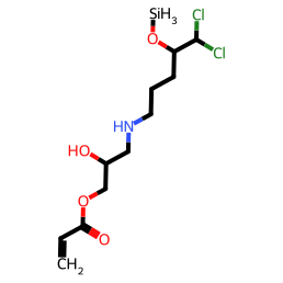 C=CC(=O)OCC(O)CNCCCC(O[SiH3])C(Cl)Cl